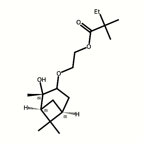 CCC(C)(C)C(=O)OCCOC1C[C@@H]2C[C@@H](C2(C)C)[C@]1(C)O